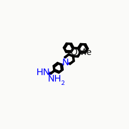 COC1(Cc2ccccc2-c2ccccc2)CCN(c2ccc(C(=N)N)cc2)CC1